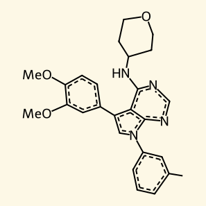 COc1ccc(-c2cn(-c3cccc(C)c3)c3ncnc(NC4CCOCC4)c23)cc1OC